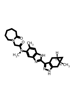 Cc1cc2[nH]c(-c3n[nH]c4c3C[C@@H]3C[C@]3(C)C4)nc2cc1N(C)C(=O)CN1CCCCCC1=O